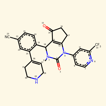 CN1C(=O)N(c2ccnc(C(F)(F)F)c2)C2=C(C(=O)CC2)C1c1ccc(C#N)cc1C1=CCNCC1